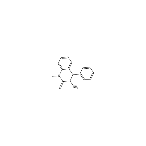 CN1C(=O)C(N)C(c2ccccc2)c2ccccc21